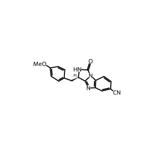 COc1ccc(C[C@H]2NC(=O)n3c2nc2cc(C#N)ccc23)cc1